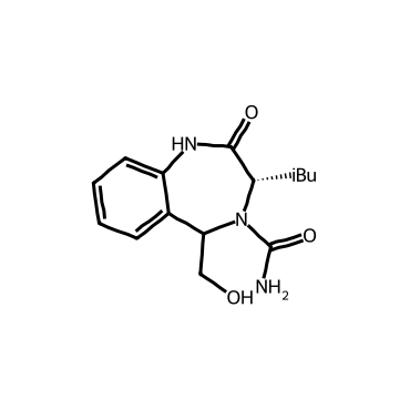 CCC(C)[C@H]1C(=O)Nc2ccccc2C(CO)N1C(N)=O